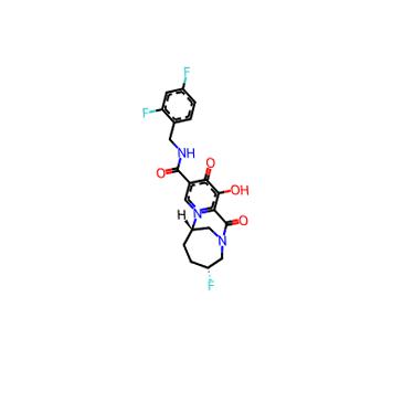 O=C(NCc1ccc(F)cc1F)c1cn2c(c(O)c1=O)C(=O)N1C[C@H](F)CC[C@H]2C1